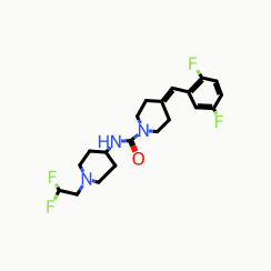 O=C(NC1CCN(CC(F)F)CC1)N1CCC(=Cc2cc(F)ccc2F)CC1